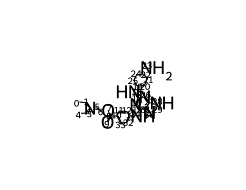 CCN(CC)CCOC(=O)c1ccc(Nc2nc(N[C@H]3CC[C@H](N)CC3)nc3[nH]cnc23)cc1